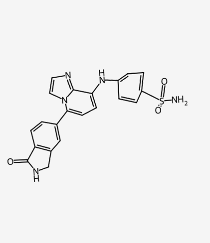 NS(=O)(=O)c1ccc(Nc2ccc(-c3ccc4c(c3)CNC4=O)n3ccnc23)cc1